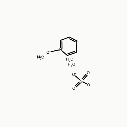 O.O.O.O=S(=O)([O-])[O-].[Mg+2].[O-][n+]1ccccc1